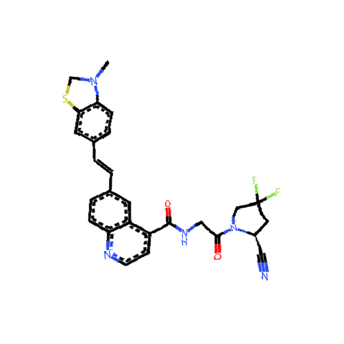 CN1CSc2cc(/C=C/c3ccc4nccc(C(=O)NCC(=O)N5CC(F)(F)C[C@H]5C#N)c4c3)ccc21